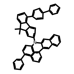 CC1(C)c2cc(N(c3ccc(-c4ccccc4)cc3)c3cc4ccccc4cc3-c3ccccc3)ccc2-c2c(-c3ccc(-c4ccccc4)cc3)cccc21